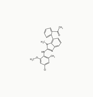 COc1cc(Cl)cc(C)c1Nc1nc2cccc(-c3ccccc3C(C)=O)c2n1C